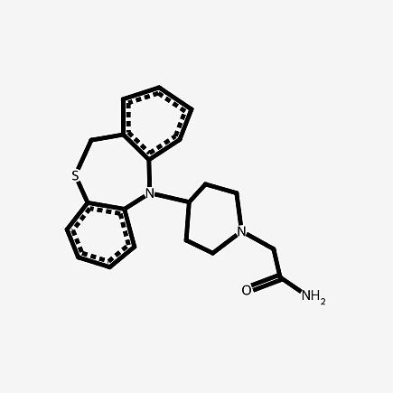 NC(=O)CN1CCC(N2c3ccccc3CSc3ccccc32)CC1